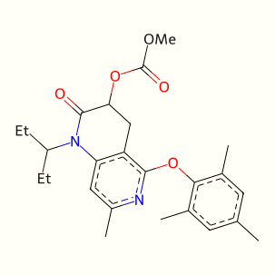 CCC(CC)N1C(=O)C(OC(=O)OC)Cc2c1cc(C)nc2Oc1c(C)cc(C)cc1C